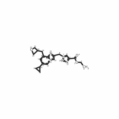 CCOC(=O)c1cn(Cc2cn3cc(C4CC4)cc(CC4COC4)c3n2)nn1